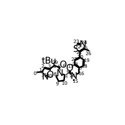 Cc1cc([C@H](C(=O)N2CCC[C@H]2C(=O)N(C)Cc2ccc(-c3scnc3C)cc2)C(C)(C)C)on1